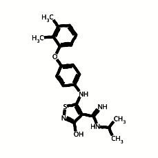 Cc1cccc(Oc2ccc(Nc3snc(O)c3C(=N)NC(C)C)cc2)c1C